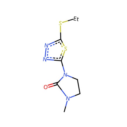 CCSc1nnc(N2CCN(C)C2=O)s1